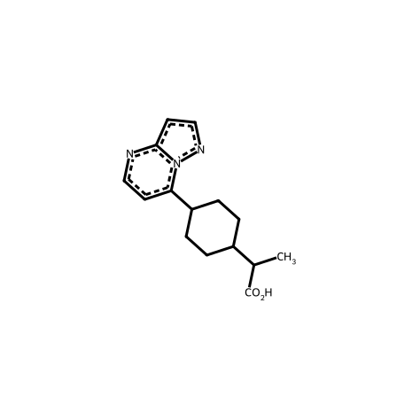 CC(C(=O)O)C1CCC(c2ccnc3ccnn23)CC1